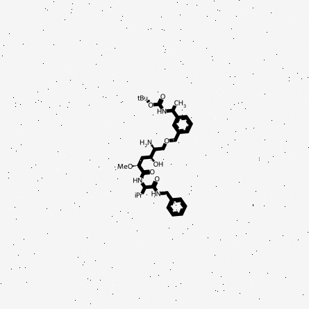 CO[C@H](C[C@H](O)[C@@H](N)COCc1cccc(C(C)NC(=O)OC(C)(C)C)c1)C(=O)NC(C(=O)NCc1ccccc1)C(C)C